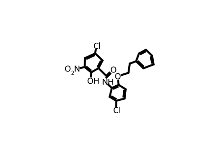 O=C(Nc1cc(Cl)ccc1OCCc1ccccc1)c1cc(Cl)cc([N+](=O)[O-])c1O